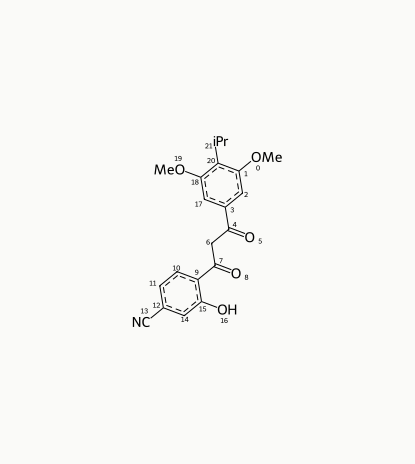 COc1cc(C(=O)CC(=O)c2ccc(C#N)cc2O)cc(OC)c1C(C)C